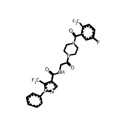 O=C(NCC(=O)N1CCN(C(=O)c2cc(F)ccc2C(F)(F)F)CC1)c1cnn(-c2ccccc2)c1C(F)(F)F